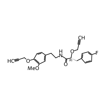 C#CCOc1ccc(CCNC(=O)[C@@H](Cc2ccc(F)cc2)OCC#C)cc1OC